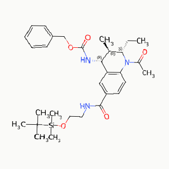 CC[C@H]1[C@H](C)[C@@H](NC(=O)OCc2ccccc2)c2cc(C(=O)NCCO[Si](C)(C)C(C)(C)C)ccc2N1C(C)=O